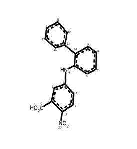 O=C(O)c1cc(Nc2ccccc2-c2ccccc2)ccc1[N+](=O)[O-]